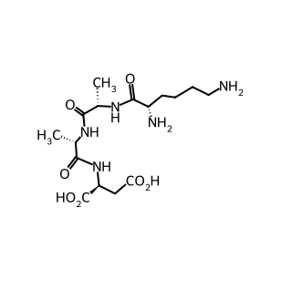 C[C@H](NC(=O)[C@H](C)NC(=O)[C@@H](N)CCCCN)C(=O)N[C@@H](CC(=O)O)C(=O)O